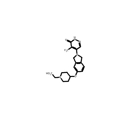 O=C(O)CN1CCC(Oc2ccc3c(c2)CN(c2cn[nH]c(=O)c2C(F)(F)F)C3)CC1